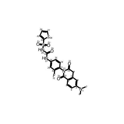 CN(C)c1ccc2c(c1)CC(=O)N(c1ccc(NC(=O)NS(=O)(=O)c3cccs3)cc1F)C2=O